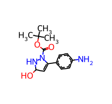 CC(C)(C)OC(=O)N1NC(O)C=C1c1ccc(N)cc1